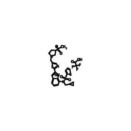 CS(=O)(=O)C1CCN(Cc2cnc(-c3cc4cccc(N(CC5CC5)S(=O)(=O)c5cccs5)c4[nH]3)s2)C1.O=C(O)C(F)(F)F